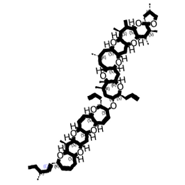 C=CC[C@@H]1O[C@@H]2C[C@@H]3O[C@@H]4C[C@@H]5O[C@@H]6[C@@H](C)[C@H](C)[C@@]7(C[C@H](C)CO7)O[C@H]6C(C)[C@H](C)[C@H]5O[C@H]4C[C@@H](C)C[C@H]3O[C@@]2(C)[C@H](C)C[C@H]1O[C@H]1C=C[C@H]2O[C@H]3C[C@H]4O[C@H]5CC=C[C@H](/C=C/[C@H](C)CC)O[C@@H]5[C@@H](C)[C@@H]4O[C@@H]3C=C[C@@H]2O[C@@H]1CC=C